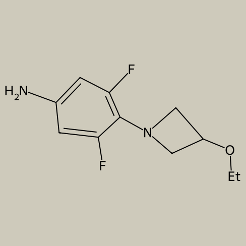 CCOC1CN(c2c(F)cc(N)cc2F)C1